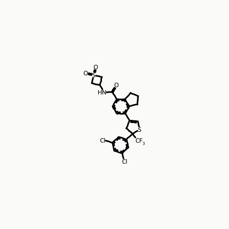 O=C(NC1CS(=O)(=O)C1)c1ccc(C2=CSC(c3cc(Cl)cc(Cl)c3)(C(F)(F)F)C2)c2c1CCC2